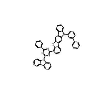 c1ccc(-c2cccc(-n3c4ccccc4c4cc5oc6c(-c7nc(-c8ccccc8)nc(-n8c9ccccc9c9ccccc98)n7)cccc6c5cc43)c2)cc1